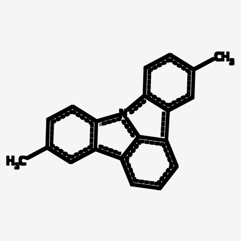 Cc1ccc2c(c1)c1cccc3c4cc(C)ccc4n2c13